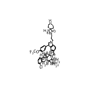 BC1(B)N(Cc2ccc3c(c2)c(-c2ccc(OC(F)(F)F)cc2)cn3CCCNC(=O)C2(N)CCNCC2)C(B)(B)C(B)(B)N(Cc2c(Cl)cccc2Cl)C1(B)B